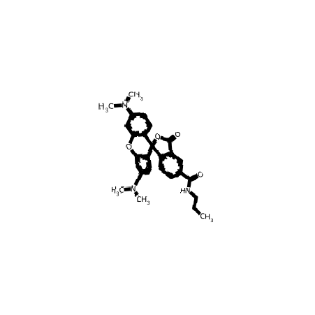 CCCNC(=O)c1ccc2c(c1)C(=O)OC21c2ccc(N(C)C)cc2Oc2cc(N(C)C)ccc21